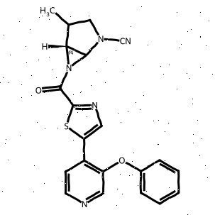 CC1CN(C#N)C2[C@@H]1N2C(=O)c1ncc(-c2ccncc2Oc2ccccc2)s1